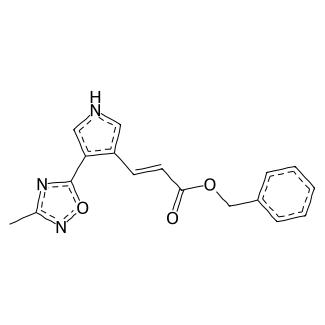 Cc1noc(-c2c[nH]cc2C=CC(=O)OCc2ccccc2)n1